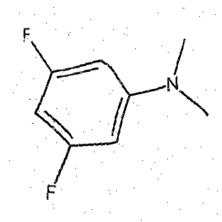 CN(C)c1cc(F)cc(F)c1